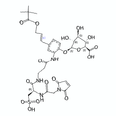 CC(C)(C)C(=O)OC/C=C/c1ccc(O[C@@H]2O[C@H](C(=O)O)[C@@H](O)[C@H](O)[C@H]2O)c(NC(=O)CCNC(=O)[C@H](CS(=O)(=O)O)NC(=O)CN2C(=O)C=CC2=O)c1